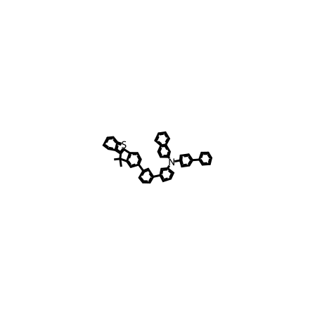 CC1(C)c2cc(-c3cccc(-c4cccc(N(c5ccc(-c6ccccc6)cc5)c5ccc6ccccc6c5)c4)c3)ccc2-c2sc3ccccc3c21